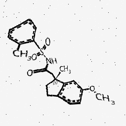 COc1ccc2c(c1)[C@@](C)(C(=O)NS(=O)(=O)c1ccccc1C)CC2